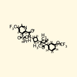 CC(C)S(=O)(=O)c1cc(C(F)(F)F)cnc1C(=O)N[C@H]1C[C@H](C(C)(C)S(=O)(=O)c2cccc(OC(F)(F)F)c2)C1